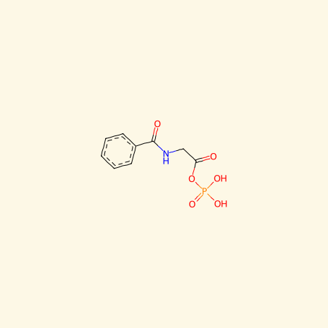 O=C(CNC(=O)c1ccccc1)OP(=O)(O)O